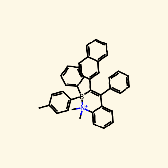 Cc1ccc([B-]2(c3ccccc3)C(c3ccc4ccccc4c3)=C(c3ccccc3)c3ccccc3[N+]2(C)C)cc1